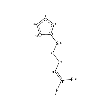 FC(F)=CCCSc1ccco1